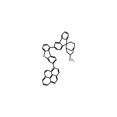 CC1CC2CCC3(c4ccccc4-c4cc(-c5cccc6oc7cc(-c8ccc9ccc%10cccc%11ccc8c9c%10%11)ccc7c56)ccc43)C(C1)C2